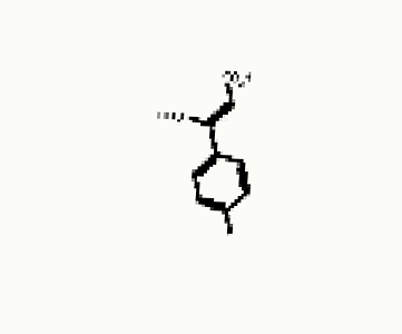 O=C(O)/C=C(\C(=O)O)c1ccc(I)cc1